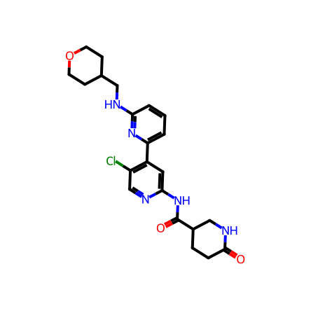 O=C1CCC(C(=O)Nc2cc(-c3cccc(NCC4CCOCC4)n3)c(Cl)cn2)CN1